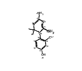 CC1(C)N=C(N)N=C(N)N1c1ccc(O)cc1Cl